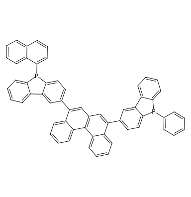 c1ccc(-p2c3ccccc3c3cc(-c4cc5cc(-c6ccc7c(c6)c6ccccc6p7-c6cccc7ccccc67)c6ccccc6c5c5ccccc45)ccc32)cc1